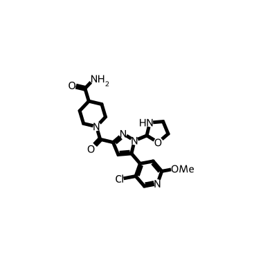 COc1cc(-c2cc(C(=O)N3CCC(C(N)=O)CC3)nn2C2NCCO2)c(Cl)cn1